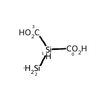 O=C(O)[SiH]([SiH2])C(=O)O